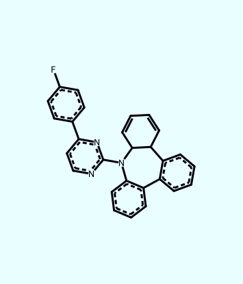 Fc1ccc(-c2ccnc(N3c4ccccc4-c4ccccc4C4C=CC=CC43)n2)cc1